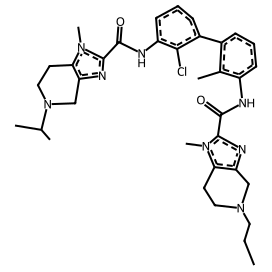 CCCN1CCc2c(nc(C(=O)Nc3cccc(-c4cccc(NC(=O)c5nc6c(n5C)CCN(C(C)C)C6)c4Cl)c3C)n2C)C1